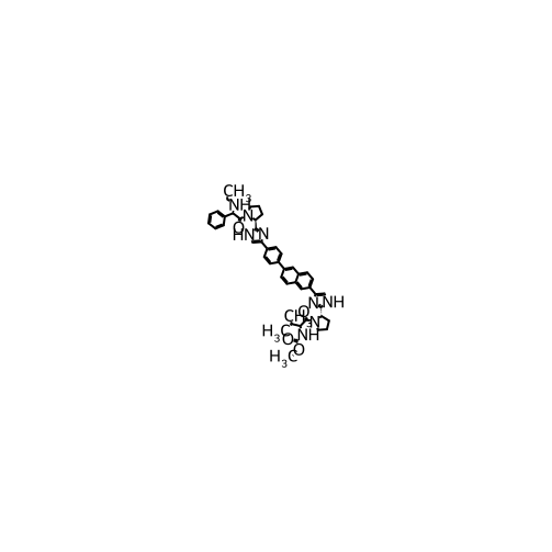 CCN[C@@H](C(=O)N1CCC[C@H]1c1nc(-c2ccc(-c3ccc4cc(-c5c[nH]c([C@@H]6CCCN6C(=O)C(NC(=O)OC)C(C)C)n5)ccc4c3)cc2)c[nH]1)c1ccccc1